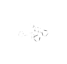 CCOC(C(=O)NCCN1CCCC1)(c1ccccc1)c1ccccc1.Cl